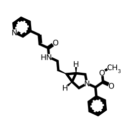 COC(=O)C(c1ccccc1)N1C[C@@H]2[C@@H](CCNC(=O)/C=C/c3cccnc3)[C@@H]2C1